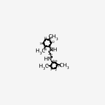 Cc1ccc(C)c(NSSNc2cc(C)ccc2C)c1